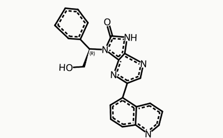 O=c1[nH]c2ncc(-c3cccc4ncccc34)nc2n1[C@@H](CO)c1ccccc1